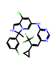 CC1(c2cccc(F)c2)NC=C2C(Cl)=CC(Nc3cc(C=C(C4CC4)C(F)(F)F)ncn3)=CN21